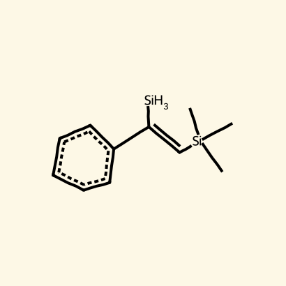 C[Si](C)(C)C=C([SiH3])c1ccccc1